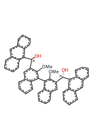 COc1c([C@H](O)c2c3ccccc3cc3ccccc23)cc2ccccc2c1-c1c(OC)c([C@H](O)c2c3ccccc3cc3ccccc23)cc2ccccc12